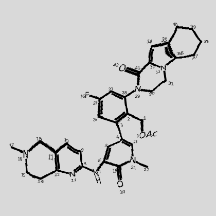 CC(=O)OCc1c(-c2cc(Nc3ccc4c(n3)CCN(C)C4)c(=O)n(C)c2)cc(F)cc1N1CCn2c(cc3c2CCCC3)C1=O